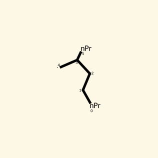 [CH2]CCCCC([CH2])CCC